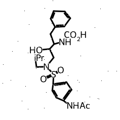 CC(=O)Nc1ccc(S(=O)(=O)N(CC(C)C)CC(O)C(Cc2ccccc2)NC(=O)O)cc1